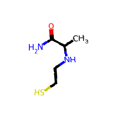 CC(NCCS)C(N)=O